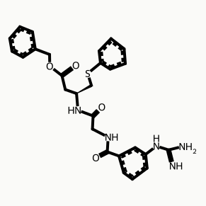 N=C(N)Nc1cccc(C(=O)NCC(=O)N[C@H](CSc2ccccc2)CC(=O)OCc2ccccc2)c1